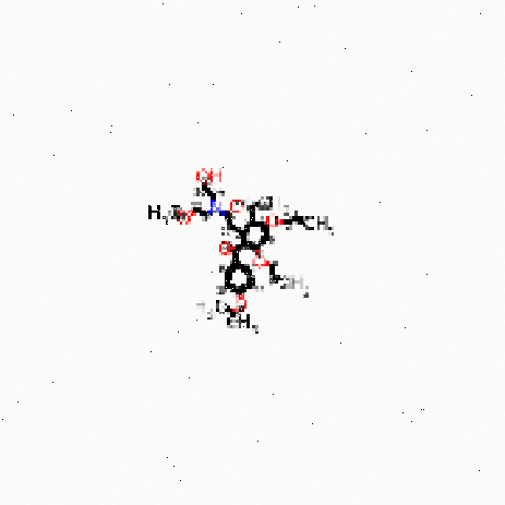 C=CCOc1cc(OCC=C)c(C(=O)c2ccc(OC(C)C)cc2)c(CC(=O)N(CCO)CCOC)c1CC